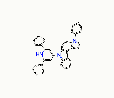 C1=C(c2ccccc2)NC(c2ccccc2)C=C1n1c2ccccc2c2c3ccn(-c4ccccc4)c3ccc21